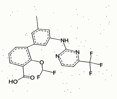 Cc1cc(Nc2nccc(C(F)(F)F)n2)cc(-c2cccc(C(=O)O)c2OC(F)F)c1